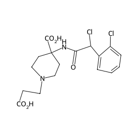 O=C(O)CCN1CCC(NC(=O)C(Cl)c2ccccc2Cl)(C(=O)O)CC1